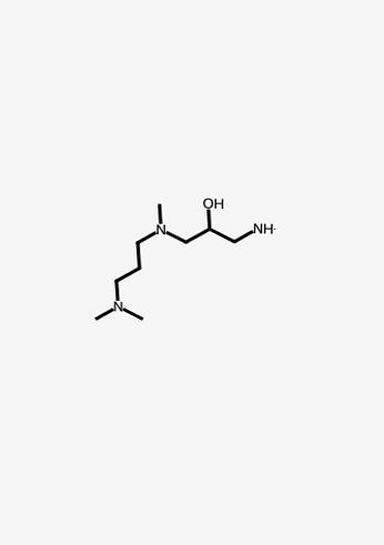 CN(C)CCCN(C)CC(O)C[NH]